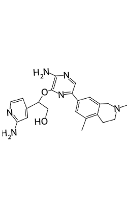 Cc1cc(-c2cnc(N)c(OC(CO)c3ccnc(N)c3)n2)cc2c1CCN(C)C2